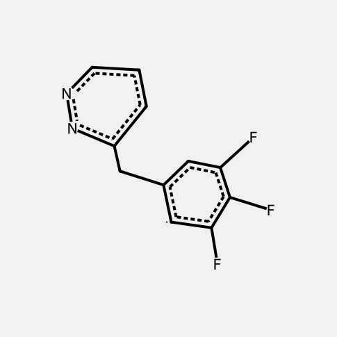 Fc1[c]c(Cc2cccnn2)cc(F)c1F